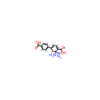 NC1(N)CC(c2ccc(C(=O)O)cc2)=CC=C1C(=O)O